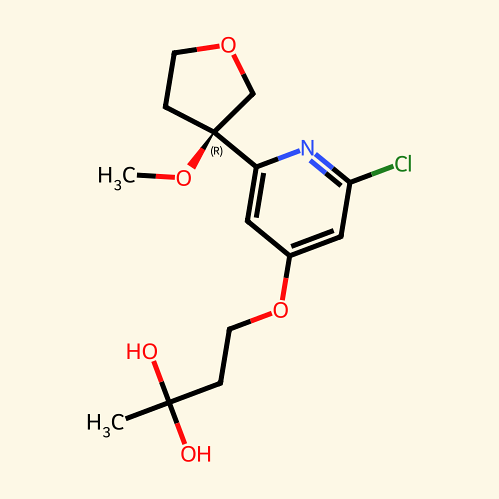 CO[C@@]1(c2cc(OCCC(C)(O)O)cc(Cl)n2)CCOC1